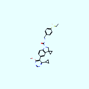 CC[S+]([O-])c1ccc(CNC(=O)N2CC3(CC3)c3cc(-c4c(OC)ncnc4C4CC4)ccc32)cc1